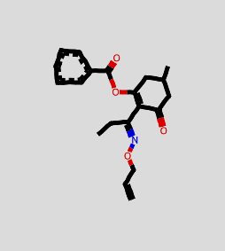 C=CCON=C(CC)C1=C(OC(=O)c2ccccc2)CC(C)CC1=O